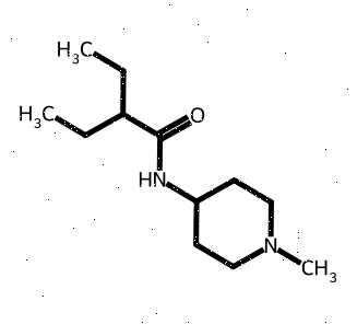 CCC(CC)C(=O)NC1CCN(C)CC1